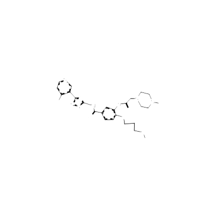 COCCCOc1ccc(C(=O)Nc2nnc(-c3cnccc3C)s2)cc1NC(=O)CN1CCN(C)CC1